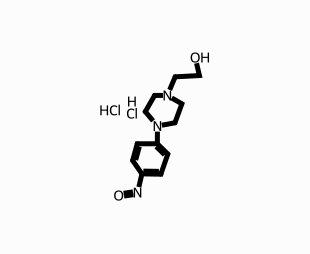 Cl.Cl.O=Nc1ccc(N2CCN(CCO)CC2)cc1